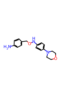 Nc1ccc(CONc2ccc(N3CCOCC3)cc2)cc1